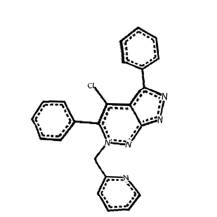 Clc1c2c(-c3ccccc3)nnc-2nn(Cc2ccccn2)c1-c1ccccc1